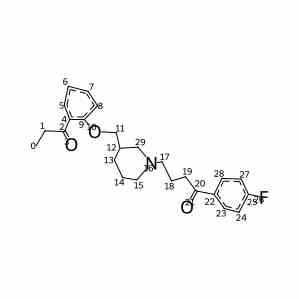 CCC(=O)c1ccccc1OCC1CCCN(CCCC(=O)c2ccc(F)cc2)C1